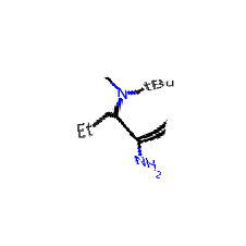 C=C(N)C(CC)N(C)C(C)(C)C